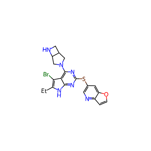 CCc1[nH]c2nc(Sc3cnc4ccoc4c3)nc(N3CC4CNC4C3)c2c1Br